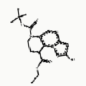 CCOC(=O)C1CCN(C(=O)OC(C)(C)C)c2cnc3cc(O)nn3c21